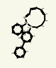 C1=C\C=P\P(c2ccccc2)P(c2ccc(-c3ccccc3)cc2)CCC\C=C/1